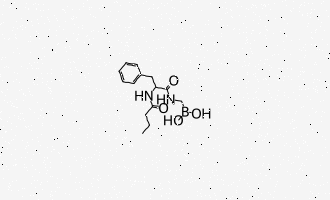 CCCC(=O)NC(Cc1ccccc1)C(=O)NCB(O)O